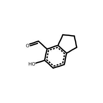 O=Cc1c(O)ccc2c1CCC2